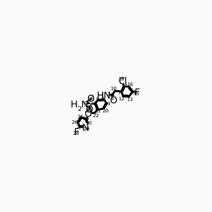 NS(=O)(=O)c1cc(NC(=O)Cc2ccc(F)cc2Cl)ccc1COc1ccc(F)nc1